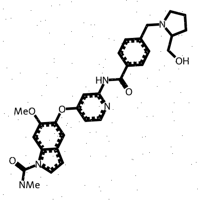 CNC(=O)n1ccc2cc(Oc3ccnc(NC(=O)c4ccc(CN5CCCC5CO)cc4)c3)c(OC)cc21